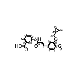 COc1ccc(C=CC(=O)Nc2cccc(C(=O)O)n2)cc1OCC1CC1